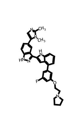 Cc1ncc(-c2ccc3[nH]nc(-c4cc5c(-c6cc(F)cc(OCCN7CCCC7)c6)cccc5[nH]4)c3c2)n1C